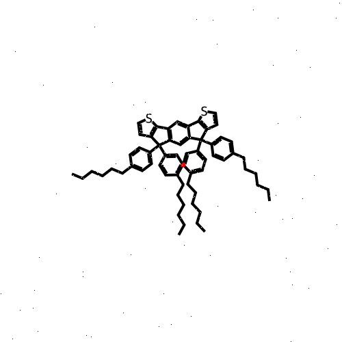 CCCCCCc1ccc(C2(c3ccc(CCCCCC)cc3)c3cc4c(cc3-c3sccc32)-c2sccc2C4(c2ccc(CCCCCC)cc2)c2ccc(CCCCCC)cc2)cc1